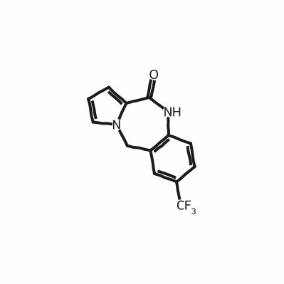 O=C1Nc2ccc(C(F)(F)F)cc2Cn2cccc21